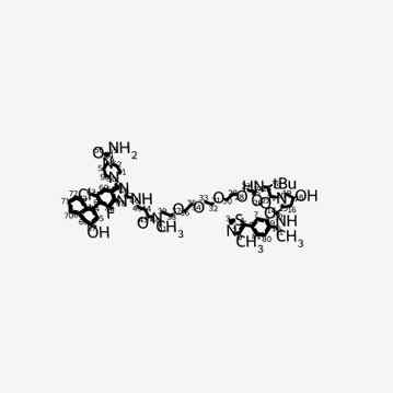 Cc1ncsc1-c1ccc([C@H](C)NC(=O)[C@@H]2C[C@@H](O)CN2C(=O)[C@@H](NC(=O)COCCOCCOCCOCCN(C)C(=O)CCNc2nc(N3CCN(C(N)=O)CC3)c3cc(Cl)c(-c4cc(O)cc5ccccc45)c(F)c3n2)C(C)(C)C)cc1